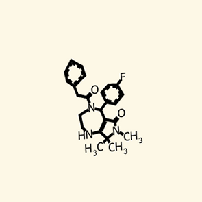 CN1C(=O)C2=C(NCCN(C(=O)Cc3ccccc3)C2c2ccc(F)cc2)C1(C)C